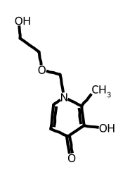 Cc1c(O)c(=O)ccn1COCCO